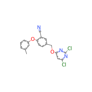 Cc1cccc(Oc2ccc(COc3cc(Cl)nc(Cl)n3)cc2C#N)c1